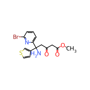 COC(=O)CC(=O)CC(N)(c1ccsc1)c1cccc(Br)n1